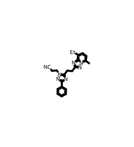 CCc1ccc(C)n2nc(CCc3nc(-c4ccccc4)nn3CCC#N)nc12